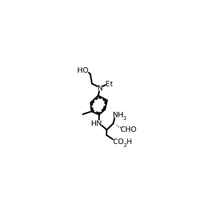 CCN(CCO)c1ccc(NC(CC(=O)O)[C@H](N)C=O)c(C)c1